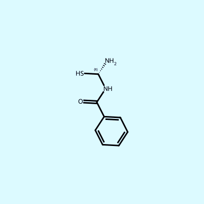 N[C@@H](S)NC(=O)c1ccccc1